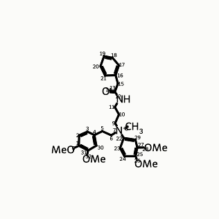 COc1ccc(CC[N+](C)(CCCNC(=O)Cc2ccccc2)c2ccc(OC)c(OC)c2)cc1OC